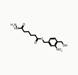 NNC(=O)CCCCC(=O)OCc1ccc(CO)c([N+](=O)[O-])c1